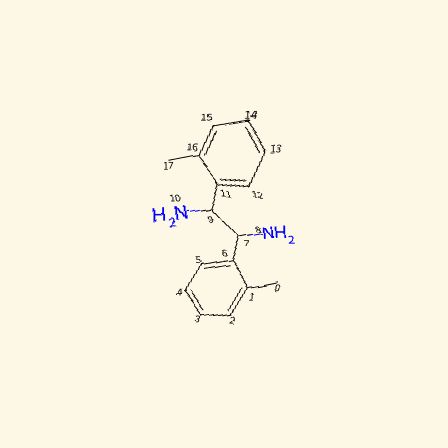 Cc1ccccc1C(N)C(N)c1ccccc1C